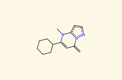 C=C1C=C(C2CCCCC2)N(C)c2ccnn21